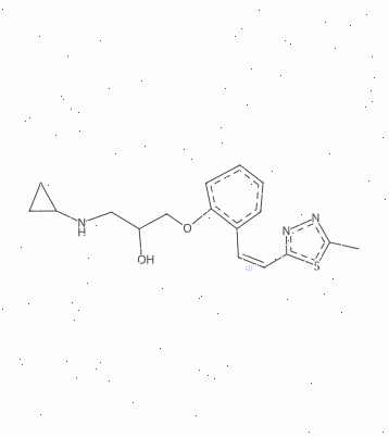 Cc1nnc(/C=C\c2ccccc2OCC(O)CNC2CC2)s1